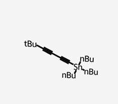 CCC[CH2][Sn]([C]#CC#CC(C)(C)C)([CH2]CCC)[CH2]CCC